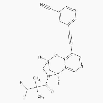 CC(C)(C(=O)N1C[C@@H]2C[C@H]1c1cncc(C#Cc3cncc(C#N)c3)c1O2)C(F)F